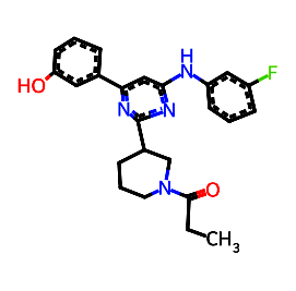 CCC(=O)N1CCCC(c2nc(Nc3cccc(F)c3)cc(-c3cccc(O)c3)n2)C1